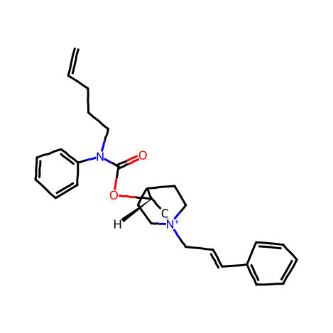 C=CCCCN(C(=O)O[C@H]1C[N+]2(CC=Cc3ccccc3)CCC1CC2)c1ccccc1